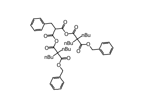 CCCCC(CCCC)(C(=O)OCc1ccccc1)C(=O)OC(=O)C(Cc1ccccc1)C(=O)OC(=O)C(CCCC)(CCCC)C(=O)OCc1ccccc1